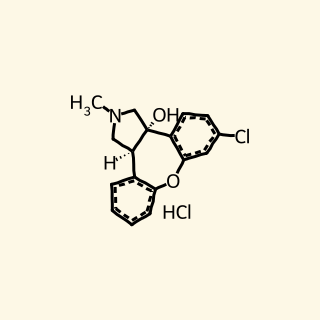 CN1C[C@@H]2c3ccccc3Oc3cc(Cl)ccc3[C@]2(O)C1.Cl